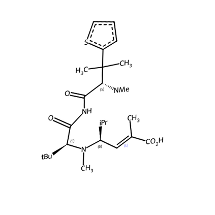 CN[C@H](C(=O)NC(=O)[C@@H](N(C)[C@H](/C=C(\C)C(=O)O)C(C)C)C(C)(C)C)C(C)(C)c1cccs1